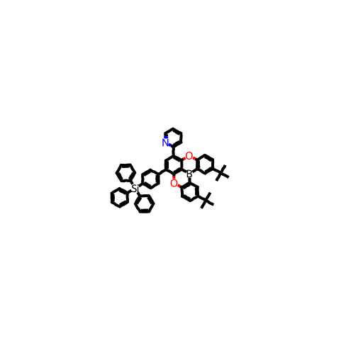 CC(C)(C)c1ccc2c(c1)B1c3cc(C(C)(C)C)ccc3Oc3c(-c4ccccn4)cc(-c4ccc([Si](c5ccccc5)(c5ccccc5)c5ccccc5)cc4)c(c31)O2